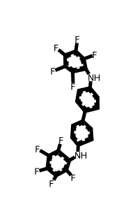 Fc1c(F)c(F)c(Nc2ccc(-c3ccc(Nc4c(F)c(F)c(F)c(F)c4F)cc3)cc2)c(F)c1F